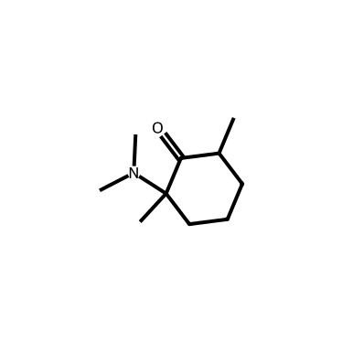 CC1CCCC(C)(N(C)C)C1=O